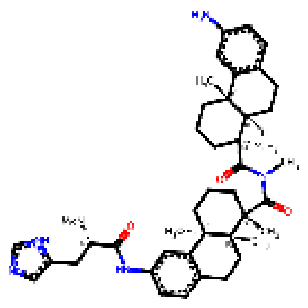 CN[C@@H](Cc1cnc[nH]1)C(=O)Nc1ccc2c(c1)[C@@]1(C)CCC[C@](C)(C(=O)N(C)C(=O)[C@@]3(C)CCC[C@]4(C)c5cc(N)ccc5CC[C@@H]34)[C@]1(C)CC2